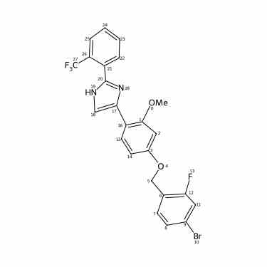 COc1cc(OCc2ccc(Br)cc2F)ccc1-c1c[nH]c(-c2ccccc2C(F)(F)F)n1